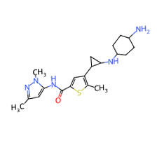 Cc1cc(NC(=O)c2cc(C3CC3NC3CCC(N)CC3)c(C)s2)n(C)n1